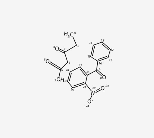 CCC(=O)CC(=O)O.O=C(c1ccccc1)c1ccccc1[N+](=O)[O-]